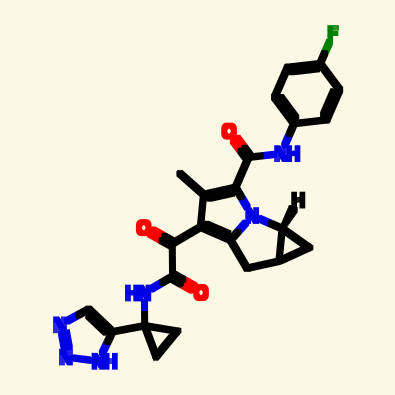 Cc1c(C(=O)C(=O)NC2(c3cnn[nH]3)CC2)c2n(c1C(=O)Nc1ccc(F)cc1)[C@@H]1CC1C2